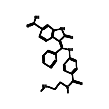 CNCCN(C)C(=O)c1ccc(N/C(=C2\C(=O)Nc3cc(C(=O)O)ccc32)c2ccccc2)cc1